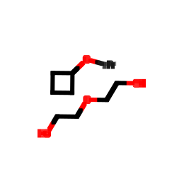 CCCOC1CCC1.OCCOCCO